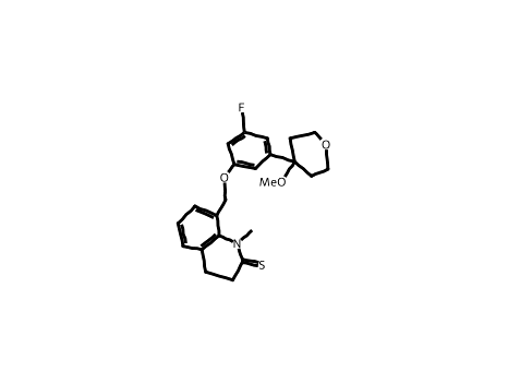 COC1(c2cc(F)cc(OCc3cccc4c3N(C)C(=S)CC4)c2)CCOCC1